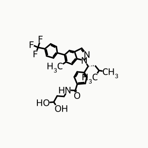 Cc1cc2c(cnn2[C@H](CC(C)C)c2ccc(C(=O)NCCC(O)O)cc2)cc1-c1ccc(C(F)(F)F)cc1